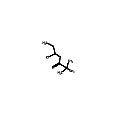 CCC(Cl)CC(=O)C(C)(C)C